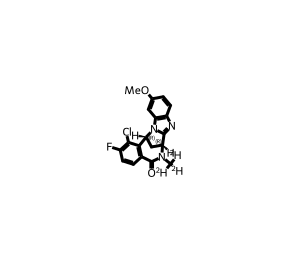 [2H]C([2H])([2H])N1C(=O)c2ccc(F)c(Cl)c2[C@H]2C[C@@H]1c1nc3ccc(OC)cc3n12